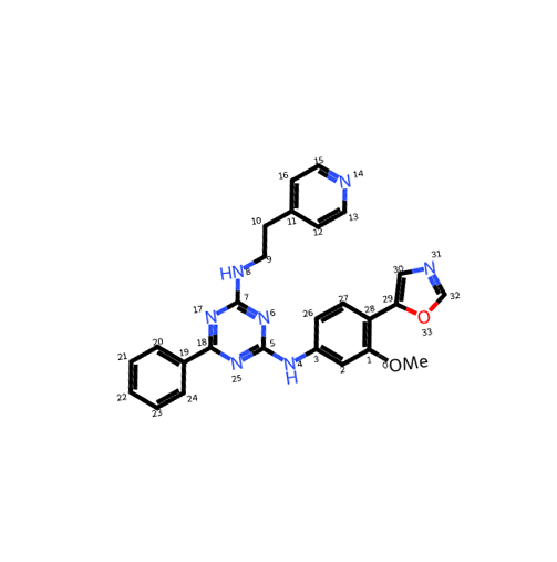 COc1cc(Nc2nc(NCCc3ccncc3)nc(-c3ccccc3)n2)ccc1-c1cnco1